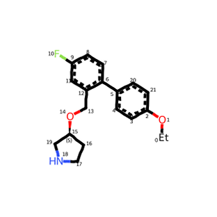 CCOc1ccc(-c2ccc(F)cc2CO[C@H]2CCNC2)cc1